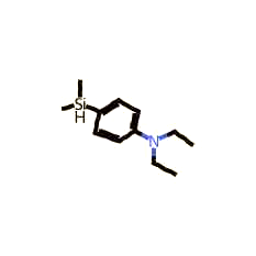 CCN(CC)c1ccc([SiH](C)C)cc1